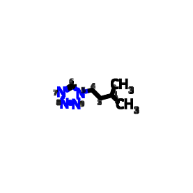 CC(C)CCn1[c]nnn1